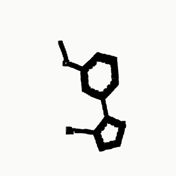 COc1cccc(-c2sccc2Br)c1